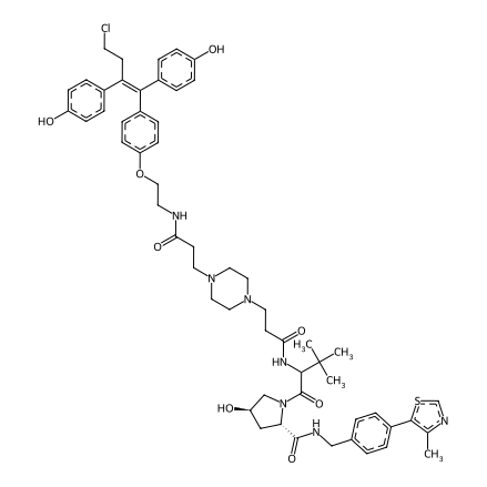 Cc1ncsc1-c1ccc(CNC(=O)[C@@H]2C[C@@H](O)CN2C(=O)C(NC(=O)CCN2CCN(CCC(=O)NCCOc3ccc(C(=C(CCCl)c4ccc(O)cc4)c4ccc(O)cc4)cc3)CC2)C(C)(C)C)cc1